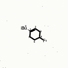 CC[C@@H](C)C1=CCC(F)CC1